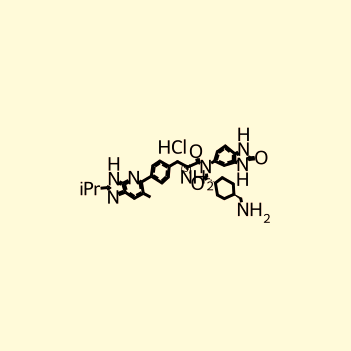 Cc1cc2nc(C(C)C)[nH]c2nc1-c1ccc(C[C@H](N)C(=O)N(c2ccc3[nH]c(=O)[nH]c3c2)C(=O)[C@H]2CC[C@H](CN)CC2)cc1.Cl